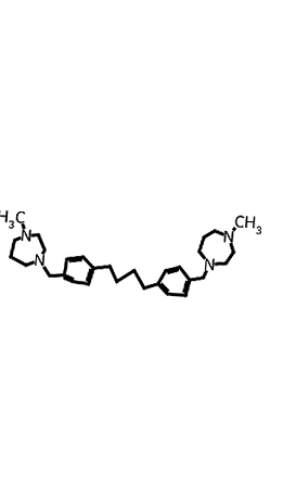 CN1CCCN(Cc2ccc(CCCCc3ccc(CN4CCCN(C)CC4)cc3)cc2)CC1